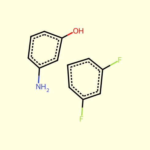 Fc1cccc(F)c1.Nc1cccc(O)c1